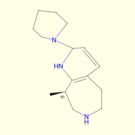 C[C@@H]1CNCCC2=C1NC(N1CCCCC1)C=C2